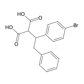 O=C(O)C(C(=O)O)C(Cc1ccccc1)c1ccc(Br)cc1